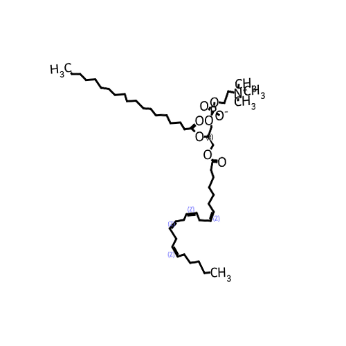 CCCCC/C=C\C/C=C\C/C=C\C/C=C\CCCCCC(=O)OC[C@H](COP(=O)([O-])OCC[N+](C)(C)C)OC(=O)CCCCCCCCCCCCCCCCCC